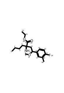 CCCCC(N)(CC(OC)c1ccc(F)c(C)c1)C(=O)OCC